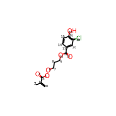 C=C(C)C(=O)OOCCCOC(=O)c1ccc(O)c(Cl)c1